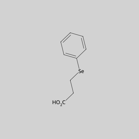 O=C(O)CC[Se]c1ccccc1